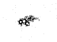 CC[C@@](OC(N)=O)(C(=O)N[C@@H]1C(=O)Nc2cccc(F)c2OC12CCOCC2)C(C)(C)C